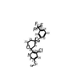 CSc1cnc(C2CC(C)(Sc3cccc(C(F)(F)F)c3)CCO2)c(Cl)c1